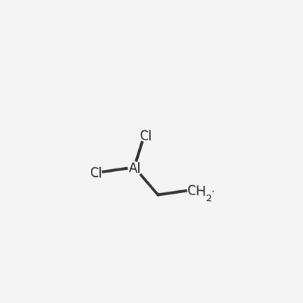 [CH2][CH2][Al]([Cl])[Cl]